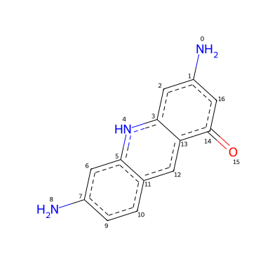 Nc1cc2[nH]c3cc(N)ccc3cc-2c(=O)c1